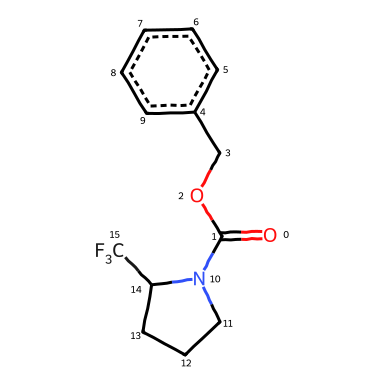 O=C(OCc1ccccc1)N1CCCC1C(F)(F)F